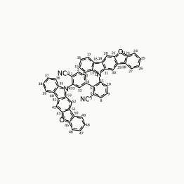 N#Cc1ccc(-c2c(C#N)cccc2-n2c3ccccc3c3cc4oc5ccccc5c4cc32)cc1-n1c2ccccc2c2cc3oc4ccccc4c3cc21